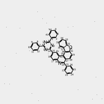 c1ccc(-c2nc(-c3ccccc3)nc(-c3ccc4nc(-c5ccccc5)c5ccc6oc7ccccc7c6c5c4c3)n2)cc1